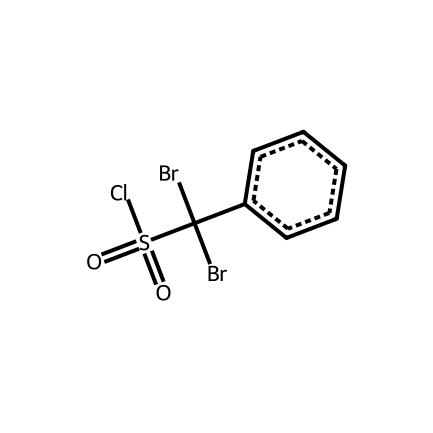 O=S(=O)(Cl)C(Br)(Br)c1ccccc1